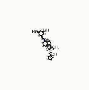 C[C@H](C(=O)OCC1(O)CCCC1)[C@H]1CC[C@H]2/C(=C/C=C3C[C@@H](O)C[C@H](O)C3)CCC[C@]12C